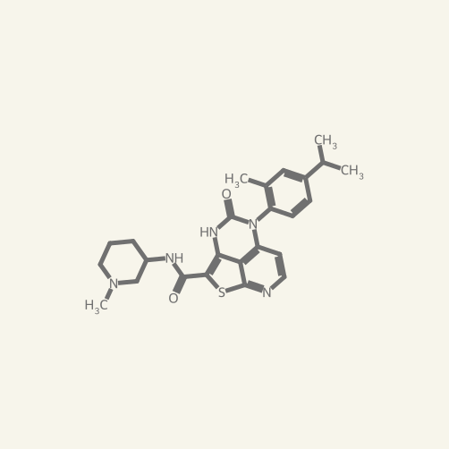 Cc1cc(C(C)C)ccc1N1C(=O)Nc2c(C(=O)NC3CCCN(C)C3)sc3nccc1c23